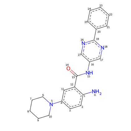 Nc1ccc(N2CCCCC2)cc1C(=O)Nc1cnc(-c2ccccc2)nc1